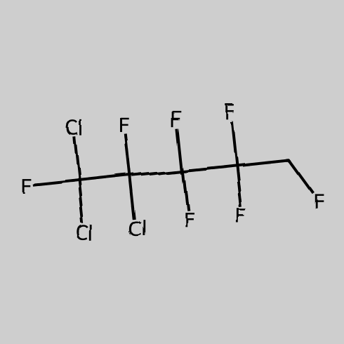 FCC(F)(F)C(F)(F)C(F)(Cl)C(F)(Cl)Cl